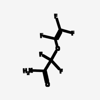 NC(=O)C(F)(F)OC(F)=C(F)F